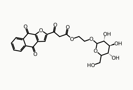 O=C(CC(=O)c1cc2c(o1)C(=O)c1ccccc1C2=O)OCCOC1OC(CO)[C@@H](O)[C@H](O)[C@H]1O